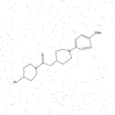 CSc1ccc(N2CCC(CC(=O)N3CCC(C(C)C)CC3)CC2)cc1